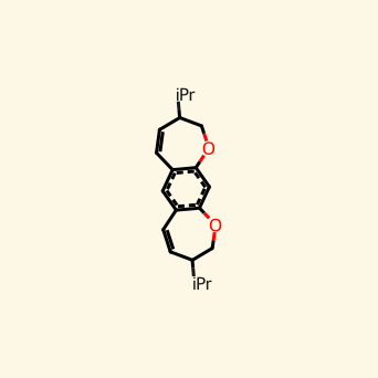 CC(C)C1C=Cc2cc3c(cc2OC1)OCC(C(C)C)C=C3